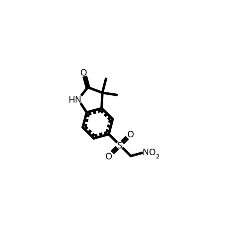 CC1(C)C(=O)Nc2ccc(S(=O)(=O)C[N+](=O)[O-])cc21